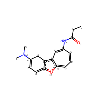 CCC(=O)NC1=Cc2c3c(oc2=CC=C1)=CC=C(N(C)C)C3